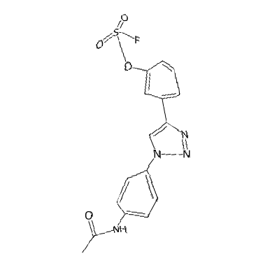 CC(=O)Nc1ccc(-n2cc(-c3cccc(OS(=O)(=O)F)c3)nn2)cc1